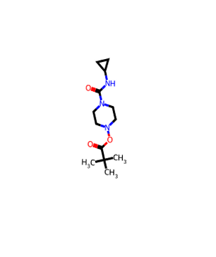 CC(C)(C)C(=O)ON1CCN(C(=O)NC2CC2)CC1